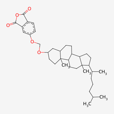 CC(C)CCCC(C)C1CCC2C3CCC4CC(OCOc5ccc6c(c5)C(=O)OC6=O)CCC4(C)C3CCC12C